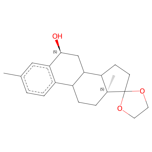 Cc1ccc2c(c1)[C@@H](O)CC1C2CC[C@@]2(C)C1CCC21OCCO1